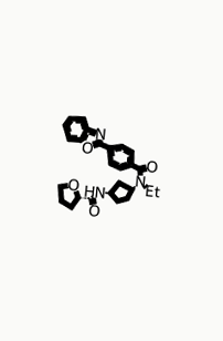 CCN(C(=O)c1ccc(-c2nc3ccccc3o2)cc1)[C@@H]1CC[C@H](NC(=O)[C@@H]2CCCO2)C1